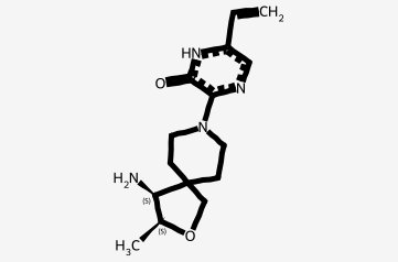 C=Cc1cnc(N2CCC3(CC2)CO[C@@H](C)[C@H]3N)c(=O)[nH]1